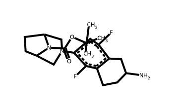 CC(C)(C)OC(=O)N1C2CCC1CN(c1cc(F)c3c(c1F)CCC(N)C3)C2